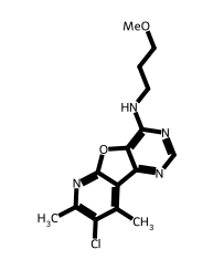 COCCCNc1ncnc2c1oc1nc(C)c(Cl)c(C)c12